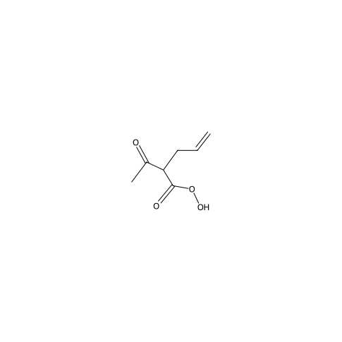 C=CCC(C(C)=O)C(=O)OO